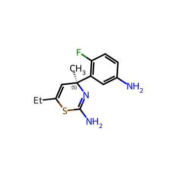 CCC1=C[C@@](C)(c2cc(N)ccc2F)N=C(N)S1